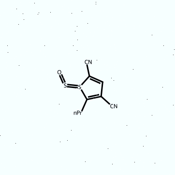 CCCC1=C(C#N)C=C(C#N)S1=S=O